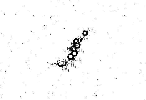 CC(C)(CC(=O)O)CC(=O)O[C@H]1CC[C@@]2(C)C(CC[C@]3(C)C2CC[C@@H]2[C@H]4CCC[C@]4(CC(=O)N[C@H]4CC[C@@H](N)C4)CC[C@]23C)C1(C)C